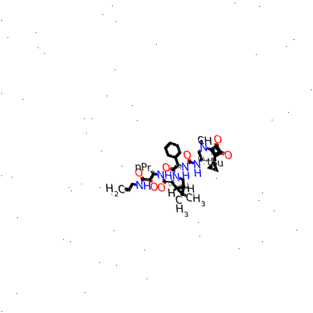 C=CCNC(=O)C(=O)C(CCC)NC(=O)[C@@H]1[C@@H]2[C@H](CN1C(=O)[C@@H](NC(=O)N[C@H](CN(C)c1c(C3CC3)c(=O)c1=O)C(C)(C)C)C1CCCCC1)C2(C)C